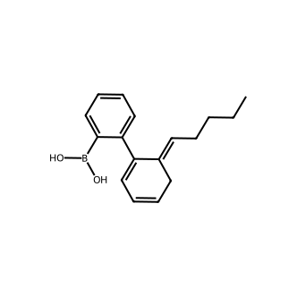 CCCCC=C1CC=CC=C1c1ccccc1B(O)O